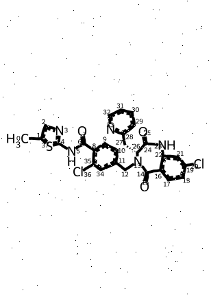 Cc1cnc(NC(=O)c2ccc(CN3C(=O)c4ccc(Cl)cc4NC(=O)[C@H]3Cc3ccccn3)cc2Cl)s1